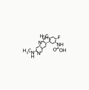 CNc1cc2nc(C)c(-c3cc(NC(=O)O)c(F)cc3C)cc2cn1